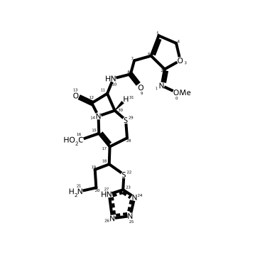 CON=C1OCC=C1CC(=O)NC1C(=O)N2C(C(=O)O)=C(C(CCN)Sc3nnn[nH]3)CS[C@@H]12